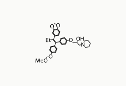 CCC(=C(c1ccc(OCOC)cc1)c1ccc(OCC(O)CN2CCCCC2)cc1)c1ccc2c(c1)OCO2